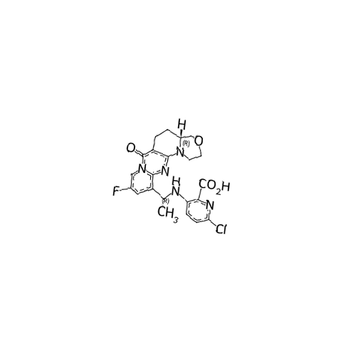 C[C@@H](Nc1ccc(Cl)nc1C(=O)O)c1cc(F)cn2c(=O)c3c(nc12)N1CCOC[C@H]1CC3